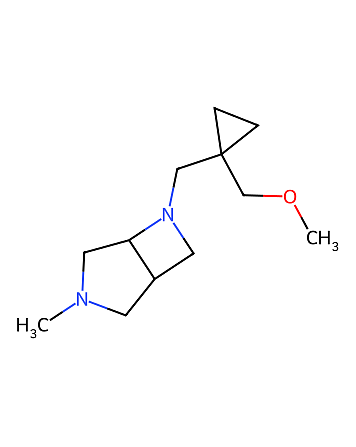 COCC1(CN2CC3CN(C)CC32)CC1